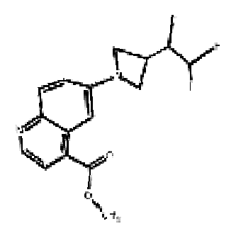 COC(=O)c1ccnc2ccc(N3CC(C(F)C(F)F)C3)cc12